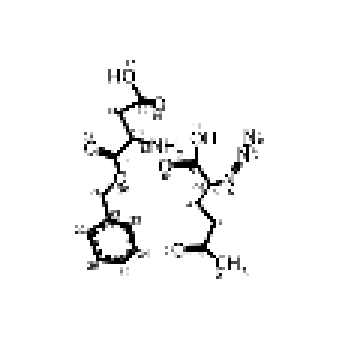 CC(=O)CC[C@H](N=[N+]=[N-])C(=O)O.NC(CC(=O)O)C(=O)OCc1ccccc1